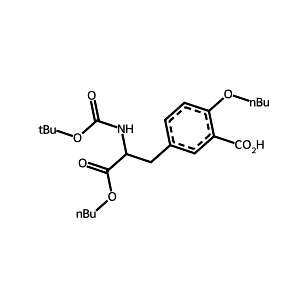 CCCCOC(=O)C(Cc1ccc(OCCCC)c(C(=O)O)c1)NC(=O)OC(C)(C)C